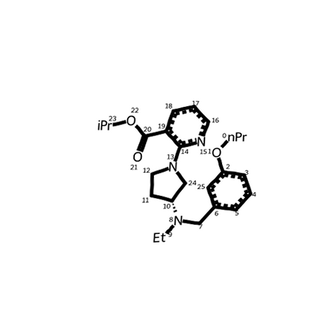 CCCOc1cccc(CN(CC)[C@@H]2CCN(c3ncccc3C(=O)OC(C)C)C2)c1